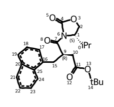 CC(C)[C@H]1COC(=O)N1C(=O)[C@@H](CC(=O)OC(C)(C)C)Cc1cccc2ccccc12